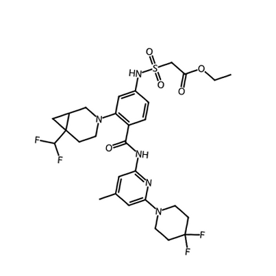 CCOC(=O)CS(=O)(=O)Nc1ccc(C(=O)Nc2cc(C)cc(N3CCC(F)(F)CC3)n2)c(N2CCC3(C(F)F)CC3C2)c1